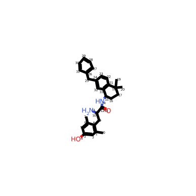 Cc1cc(O)cc(C)c1CC(N)C(=O)NC1CCC(C)(C)c2ccc(Cc3ccccc3)cc21